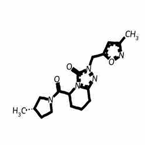 Cc1cc(Cn2nc3n(c2=O)C(C(=O)N2CC[C@H](C)C2)CCC3)on1